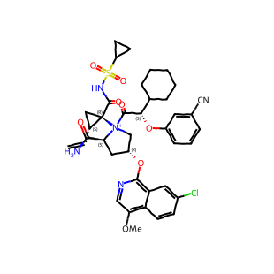 C=C[C@@H]1C[C@@]1(C(=O)NS(=O)(=O)C1CC1)[N+]1(C(=O)[C@@H](Oc2cccc(C#N)c2)C2CCCCC2)C[C@H](Oc2ncc(OC)c3ccc(Cl)cc23)C[C@H]1C(N)=O